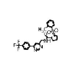 Cc1ccccc1S(=O)(=O)N1CCC[C@H]1C(=O)NCc1cc(-c2ccc(C(F)(F)F)cc2)ncn1